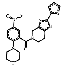 O=C(c1cc([N+](=O)[O-])ccc1N1CCOCC1)N1CCc2nc(-c3cccs3)sc2C1